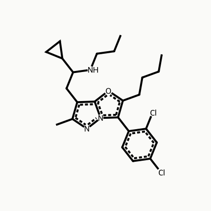 CCCCc1oc2c(CC(NCCC)C3CC3)c(C)nn2c1-c1ccc(Cl)cc1Cl